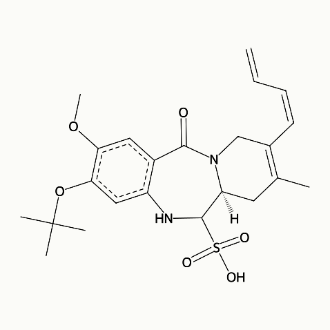 C=C/C=C\C1=C(C)C[C@H]2C(S(=O)(=O)O)Nc3cc(OC(C)(C)C)c(OC)cc3C(=O)N2C1